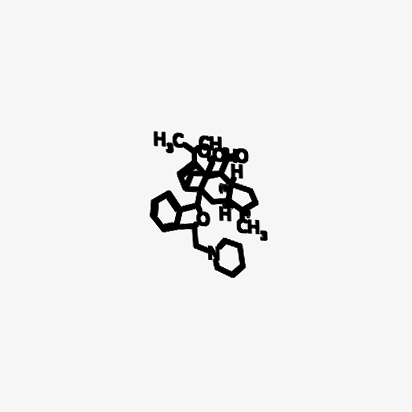 CC(C)C1=CC2CC3(C=O)[C@@H]4CC[C@@H](C)[C@H]4CC2(C2OC(CN4CCCCC4)c4ccccc42)C13C(=O)O